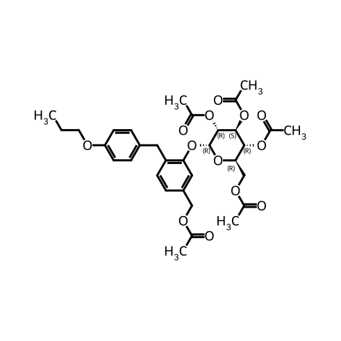 CCCOc1ccc(Cc2ccc(COC(C)=O)cc2O[C@H]2O[C@H](COC(C)=O)[C@@H](OC(C)=O)[C@H](OC(C)=O)[C@H]2OC(C)=O)cc1